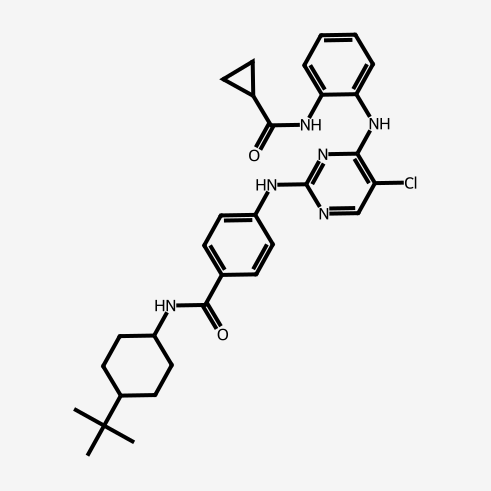 CC(C)(C)C1CCC(NC(=O)c2ccc(Nc3ncc(Cl)c(Nc4ccccc4NC(=O)C4CC4)n3)cc2)CC1